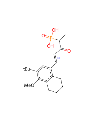 COc1c(C(C)(C)C)cc(/C=C/C(=O)C(C)P(=O)(O)O)c2c1CCCC2